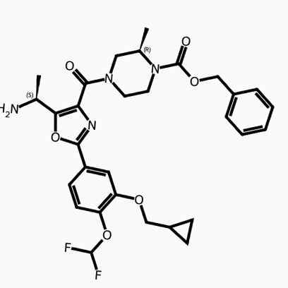 C[C@H](N)c1oc(-c2ccc(OC(F)F)c(OCC3CC3)c2)nc1C(=O)N1CCN(C(=O)OCc2ccccc2)[C@H](C)C1